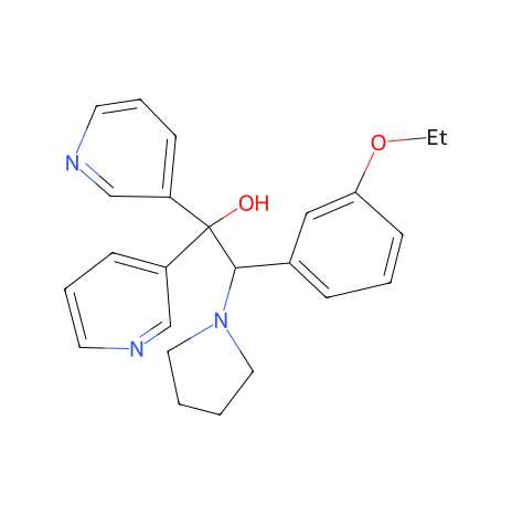 CCOc1cccc(C(N2CCCC2)C(O)(c2cccnc2)c2cccnc2)c1